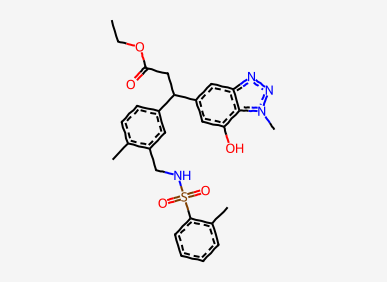 CCOC(=O)CC(c1ccc(C)c(CNS(=O)(=O)c2ccccc2C)c1)c1cc(O)c2c(c1)nnn2C